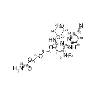 CN(F)c1cc(OCCOCCOC(=O)CN)c(NC2CCOCC2)nc1Nc1ccc(C#N)cn1